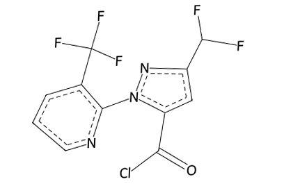 O=C(Cl)c1cc(C(F)F)nn1-c1ncccc1C(F)(F)F